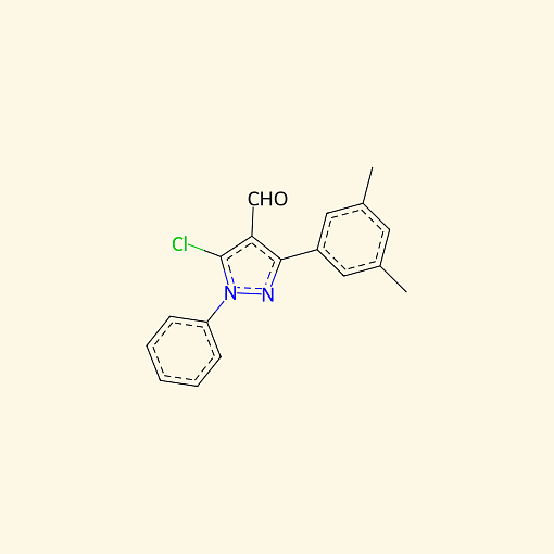 Cc1cc(C)cc(-c2nn(-c3ccccc3)c(Cl)c2C=O)c1